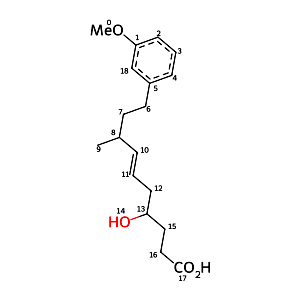 COc1cccc(CCC(C)C=CCC(O)CCC(=O)O)c1